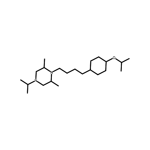 CC(C)OC1CCC(CCCCN2C(C)CN(C(C)C)CC2C)CC1